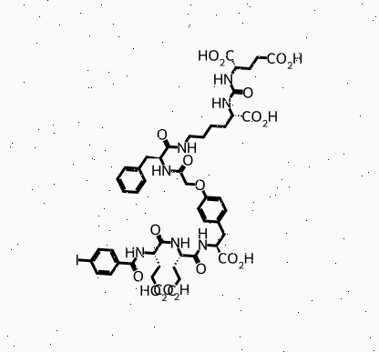 O=C(O)CC[C@H](NC(=O)N[C@@H](CCCCNC(=O)[C@H](Cc1ccccc1)NC(=O)COc1ccc(C[C@H](NC(=O)[C@H](CCC(=O)O)NC(=O)[C@H](CCC(=O)O)NC(=O)c2ccc(I)cc2)C(=O)O)cc1)C(=O)O)C(=O)O